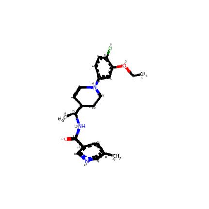 CCOc1cc(N2CCC(C(C)NC(=O)c3cncc(C)c3)CC2)ccc1Cl